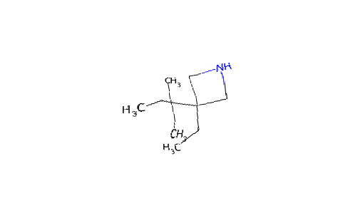 CCC1(C(C)(C)C)CNC1